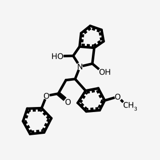 COc1cccc(C(CC(=O)Oc2ccccc2)N2C(O)c3ccccc3C2O)c1